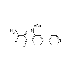 CCCCn1cc(C(N)=O)c(=O)c2ccc(-c3ccncc3)cc21